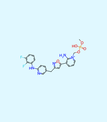 COP(=O)(O)OC[n+]1cccc(-c2cc(Cc3ccc(Nc4cccc(F)c4F)nc3)no2)c1N